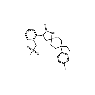 CC[C@]1(c2ccc(F)cc2)CC[C@]2(CC1)CN(c1ccccc1CS(C)(=O)=O)C(=O)N2